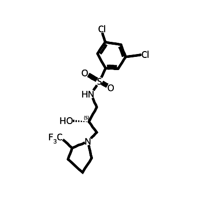 O=S(=O)(NC[C@@H](O)CN1CCCC1C(F)(F)F)c1cc(Cl)cc(Cl)c1